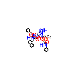 CC(C)CC(NC(=O)C(Cc1c[nH]cn1)NC(=O)[C@@H](Cc1cccc2ccccc12)NC(=O)OCc1ccccc1)O/[P+]([O-])=C/C(=O)NCc1ccccc1